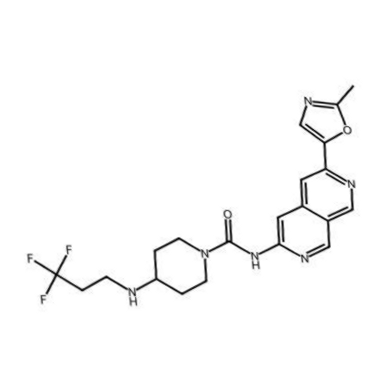 Cc1ncc(-c2cc3cc(NC(=O)N4CCC(NCCC(F)(F)F)CC4)ncc3cn2)o1